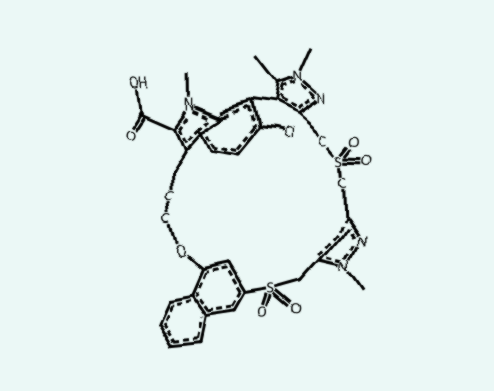 Cc1c2c(nn1C)CS(=O)(=O)Cc1cc(n(C)n1)CS(=O)(=O)c1cc(c3ccccc3c1)OCCCc1c(C(=O)O)n(C)c3c-2c(Cl)ccc13